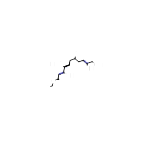 CCOC(=O)/C=C(C)/C(C)=C/CC(C)C/C=C(\C)CC